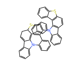 C1=c2c(n(-c3ccccc3-c3ccccc3-n3c4ccccc4c4ccc5sc6ccccc6c5c43)c3ccccc23)=C2c3ccccc3SC2C1